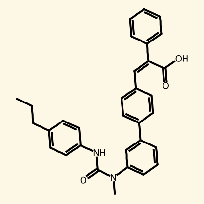 CCCc1ccc(NC(=O)N(C)c2cccc(-c3ccc(/C=C(\C(=O)O)c4ccccc4)cc3)c2)cc1